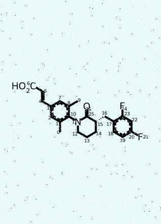 Cc1cc(/C=C/C(=O)O)cc(C)c1N1CCC[C@@H](Cc2ccc(F)cc2F)C1=O